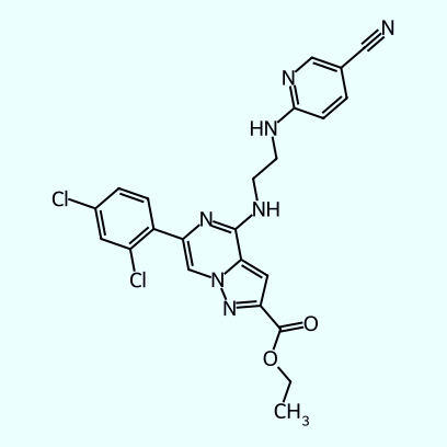 CCOC(=O)c1cc2c(NCCNc3ccc(C#N)cn3)nc(-c3ccc(Cl)cc3Cl)cn2n1